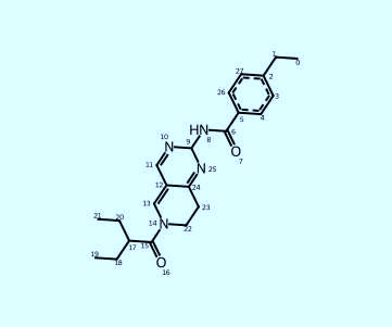 CCc1ccc(C(=O)NC2N=CC3=CN(C(=O)C(CC)CC)CCC3=N2)cc1